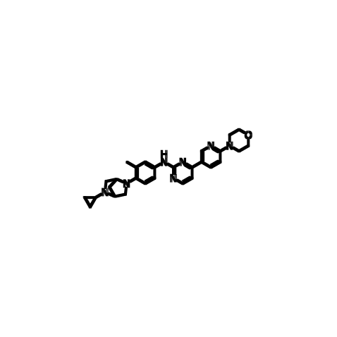 Cc1cc(Nc2nccc(-c3ccc(N4CCOCC4)nc3)n2)ccc1N1CC2CC1CN2C1CC1